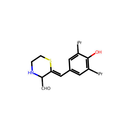 CC(C)c1cc(C=C2SCCNC2C=O)cc(C(C)C)c1O